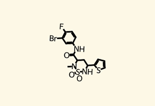 CN1C(C(=O)Nc2ccc(F)c(Br)c2)CC(c2cccs2)NS1(=O)=O